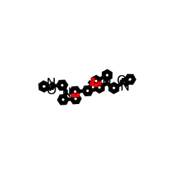 CC1(C)c2cc(-c3ccc(N(c4cccc(-c5nc6ccccc6o5)c4)c4ccccc4-c4ccccc4)cc3)ccc2-c2ccc(N(c3cccc(-c4nc5ccccc5o4)c3)c3ccccc3-c3ccccc3)cc21